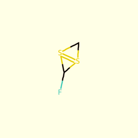 FC1S2=S1C2